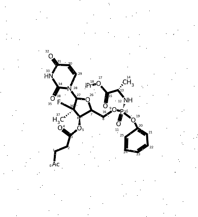 CC(=O)CCC(=O)O[C@@H]1C(CO[P@@](=O)(N[C@@H](C)C(=O)OC(C)C)Oc2ccccc2)OC(n2ccc(=O)[nH]c2=O)[C@]1(C)F